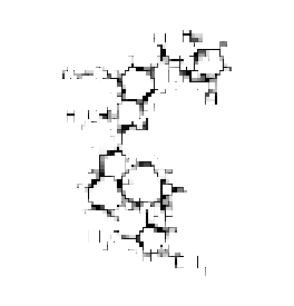 COc1cc(C(=O)N2C[C@H]3CC[C@@H]2[C@@H]3N)cc2nc(-c3cc4cccc(Nc5cn(C)nc5C)c4n3CC3CC3(F)F)n(C)c12